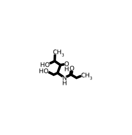 CCC(=O)NC(CO)C(O)C(C)O